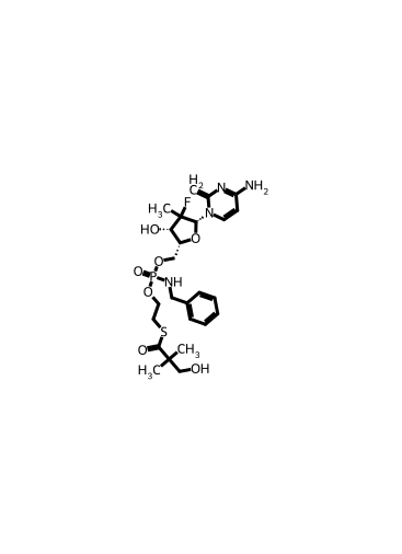 C=C1N=C(N)C=CN1[C@@H]1O[C@H](COP(=O)(NCc2ccccc2)OCCSC(=O)C(C)(C)CO)[C@H](O)C1(C)F